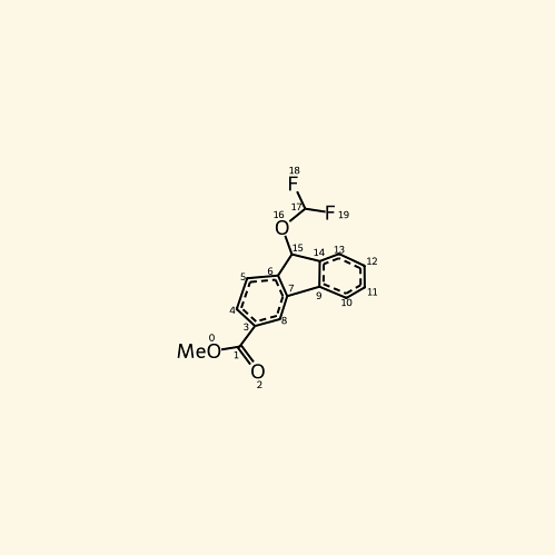 COC(=O)c1ccc2c(c1)-c1ccccc1C2OC(F)F